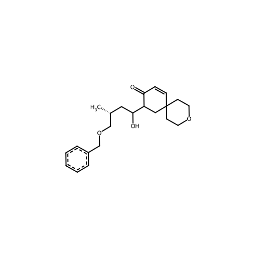 C[C@@H](COCc1ccccc1)CC(O)C1CC2(C=CC1=O)CCOCC2